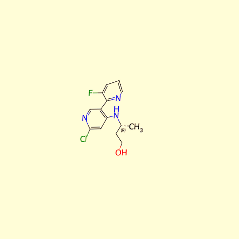 C[C@H](CCO)Nc1cc(Cl)ncc1-c1ncccc1F